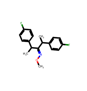 CON=C(C(C)c1ccc(F)cc1)C(C)c1ccc(F)cc1